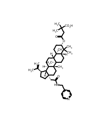 C=C(C)[C@@H]1CC[C@]2(CC(=O)NCc3ccncc3)CC[C@]3(C)[C@H](CC[C@@H]4[C@@]5(C)CC[C@H](OC(=O)CC(C)(C)C(=O)O)C(C)(C)[C@@H]5CC[C@]43C)[C@@H]12